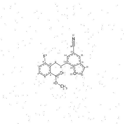 COC(=O)c1cccc(F)c1CCc1cc(C#N)cc2ccoc12